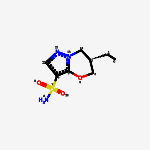 CC[C@@H]1COc2c(S(N)(=O)=O)cnn2C1